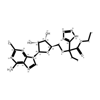 CCOC(=O)C(CC)(OC[C@H]1O[C@@H](n2cnc3c(N)nc(Cl)nc32)[C@H](O)[C@@H]1O)c1nnn[nH]1